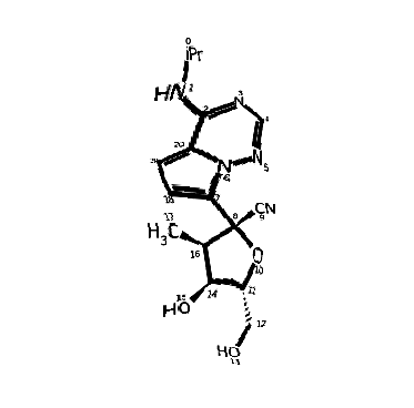 CC(C)Nc1ncnn2c([C@]3(C#N)O[C@H](CO)[C@@H](O)[C@H]3C)ccc12